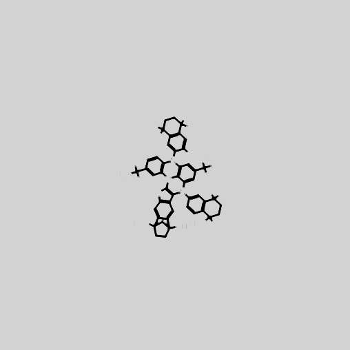 Cc1cc2c(cc1N1c3ccc(C(C)(C)C)cc3B3c4sc5cc6c(cc5c4N(c4ccc5c(c4)C(C)(C)CCC5(C)C)c4cc(C(C)(C)C)cc1c43)C1(C)CCC6(C)C1)C(C)(C)CCC2(C)C